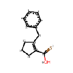 OC(=S)C1=C(Cc2ccccc2)CCC1